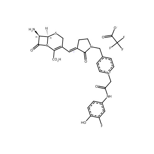 N[C@@H]1C(=O)N2C(C(=O)O)=C(/C=C3\CCN(Cc4cc[n+](CC(=O)Nc5ccc(O)c(F)c5)cc4)C3=O)CS[C@H]12.O=C([O-])C(F)(F)F